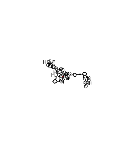 CC(C)(C)C(NC(=O)c1cc2cc(C(F)(F)P(=O)(O)O)ccc2s1)C(=O)N1C[C@H](OCc2ccc(C#Cc3cccc4c3CN(C3CCC(=O)NC3=O)C4=O)cc2)C[C@H]1C(=O)Nc1ncc(-c2ccccc2)s1